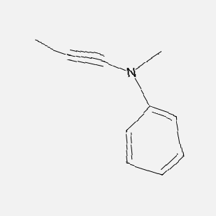 CC#CN(C)c1ccccc1